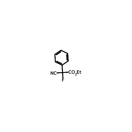 CCOC(=O)C(F)(C#N)c1ccccc1